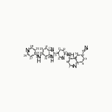 N#Cc1ccc2nccc(Nc3ccc(-c4nc5ccc(Nc6ccncc6)cc5[nH]4)cn3)c2c1